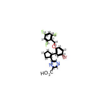 O=C(O)c1cncc(C2=C(c3cc(Br)ccc3OCc3c(F)cc(F)cc3F)CCC2)n1